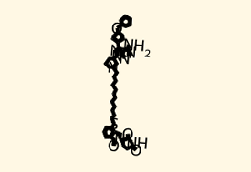 Nc1ncnc2c1c(-c1ccc(Oc3ccccc3)cc1)nn2C1CCCN(CCCCCCCCCCCCSc2cccc3c2CN(C2CCC(=O)NC2=O)C3=O)C1